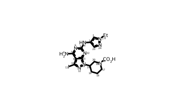 CCn1cc(Nc2nc(N)c3c(I)nn(C4CCCN(C(=O)O)C4)c3n2)cn1